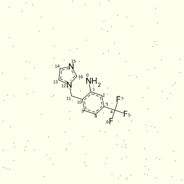 Nc1cc(C(F)(F)F)ccc1Cn1ccnc1